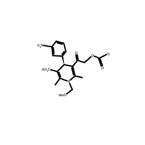 CCC(=O)OCC(=O)C1=C(C)N(COC)C(C)=C(C(=O)O)[C@H]1c1cccc([N+](=O)[O-])c1